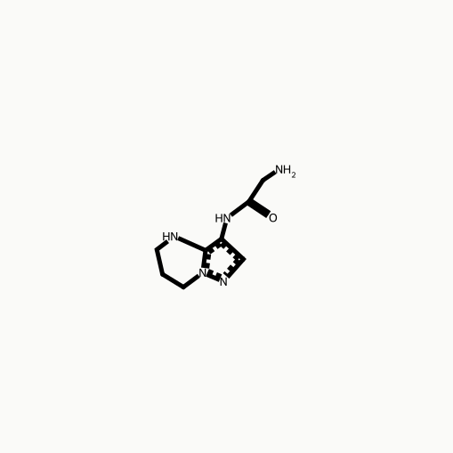 NCC(=O)Nc1cnn2c1NCCC2